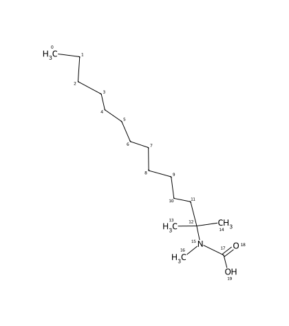 CCCCCCCCCCCCC(C)(C)N(C)C(=O)O